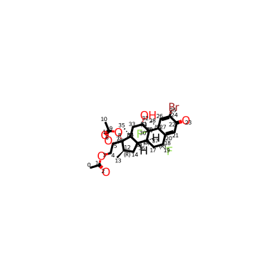 CC(=O)OCC(=O)[C@]1(OC(C)=O)[C@H](C)C[C@H]2[C@@H]3C[C@@H](F)C4=CC(=O)C(Br)=C[C@]4(C)[C@@]3(F)[C@@H](O)C[C@@]21C